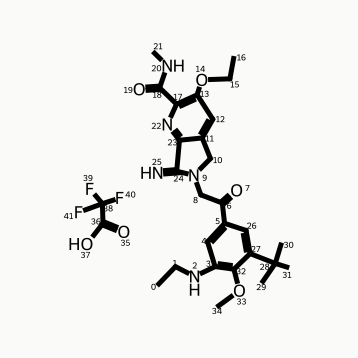 CCNc1cc(C(=O)CN2Cc3cc(OCC)c(C(=O)NC)nc3C2=N)cc(C(C)(C)C)c1OC.O=C(O)C(F)(F)F